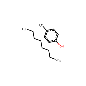 CCCCCCCC.Cc1ccc(O)cc1